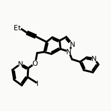 CCC#Cc1cc2cnn(Cc3cccnc3)c2cc1COc1ncccc1I